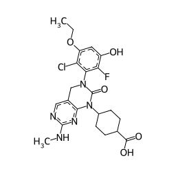 CCOc1cc(O)c(F)c(N2Cc3cnc(NC)nc3N(C3CCC(C(=O)O)CC3)C2=O)c1Cl